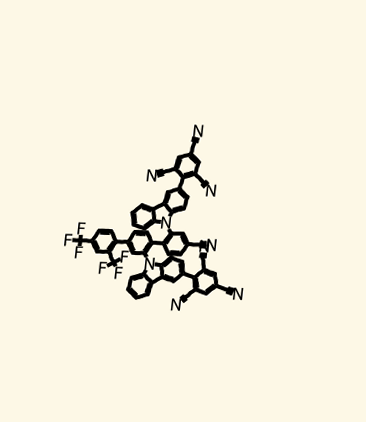 N#Cc1cc(C#N)c(-c2ccc3c(c2)c2ccccc2n3-c2cc(C#N)ccc2-c2ccc(-c3ccc(C(F)(F)F)cc3C(F)(F)F)cc2-n2c3ccccc3c3cc(-c4c(C#N)cc(C#N)cc4C#N)ccc32)c(C#N)c1